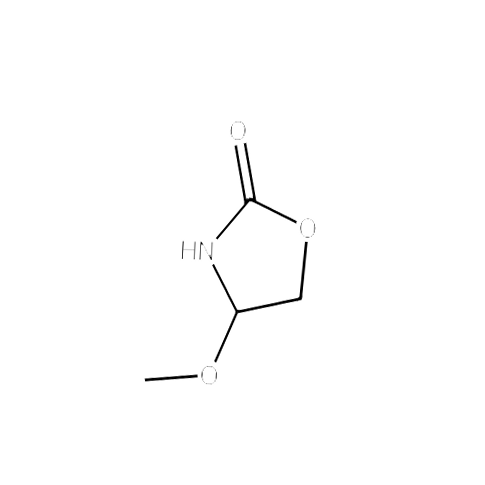 COC1COC(=O)N1